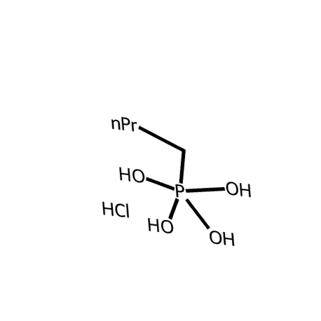 CCCCP(O)(O)(O)O.Cl